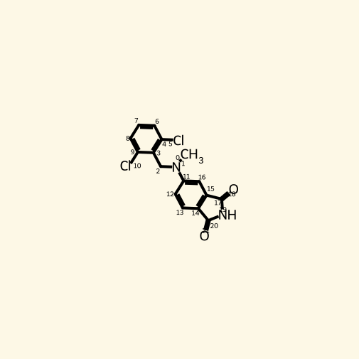 CN(Cc1c(Cl)cccc1Cl)c1ccc2c(c1)C(=O)NC2=O